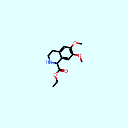 CCOC(=O)C1NCCc2cc(OC)c(OC)cc21